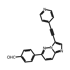 O=Cc1ccc(-c2ccc3ncc(C#Cc4ccncc4)n3n2)cc1